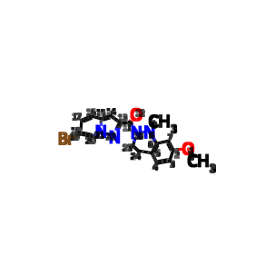 COc1ccc2c(c1)N(C)N(C(=O)c1cc3ccc(Br)cn3n1)CC2